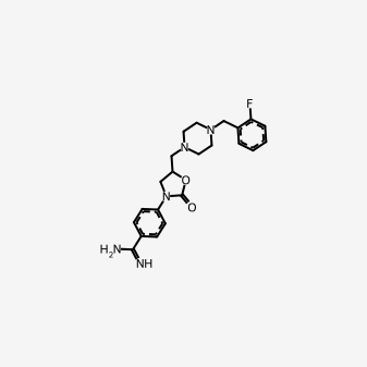 N=C(N)c1ccc(N2CC(CN3CCN(Cc4ccccc4F)CC3)OC2=O)cc1